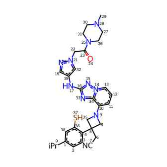 CC(C)c1ccc(C2(CC#N)CN(c3cccn4nc(Nc5cnn(CC(=O)N6CCN(C)CC6)c5)nc34)C2)c(S)c1